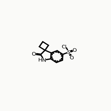 O=C1Nc2ccc(S(=O)(=O)Cl)cc2C12CCC2